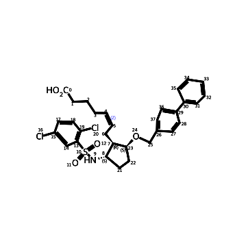 O=C(O)CCC/C=C\C[C@@H]1[C@@H](NS(=O)(=O)c2cc(Cl)ccc2Cl)CC[C@@H]1OCc1ccc(-c2ccccc2)cc1